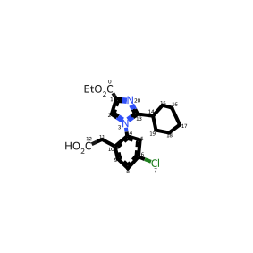 CCOC(=O)c1cn(-c2cc(Cl)ccc2CC(=O)O)c(C2CCCCC2)n1